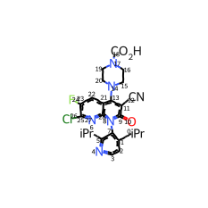 CC(C)c1ccnc(C(C)C)c1-n1c(=O)c(C#N)c(N2CCN(C(=O)O)CC2)c2cc(F)c(Cl)nc21